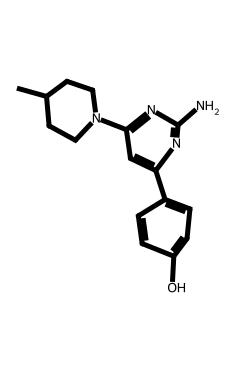 CC1CCN(c2cc(-c3ccc(O)cc3)nc(N)n2)CC1